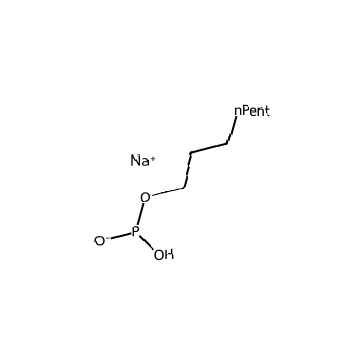 CCCCCCCCOP([O-])O.[Na+]